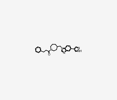 O=C(CCc1ccccc1)N1CCCC(Cn2cnc3cc(-c4cn[nH]c4)ccc32)CC1